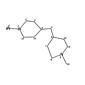 CC(C)N1CCC(CC2CCN(C)CC2)CC1